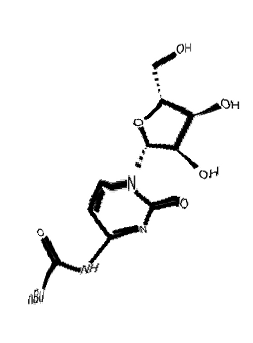 CCCCC(=O)Nc1ccn([C@@H]2O[C@H](CO)[C@@H](O)[C@H]2O)c(=O)n1